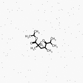 CC(C)OC(=O)C(C)(C)CC(C)C(=O)C(C)C